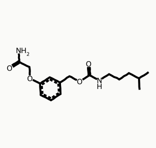 CC(C)CCCNC(=O)OCc1cccc(OCC(N)=O)c1